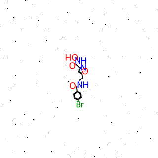 O=C(NCCc1cc(C(=O)NO)no1)c1ccc(Br)cc1